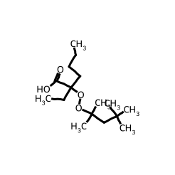 CCCCC(CC)(OOC(C)(C)CC(C)(C)C)C(=O)O